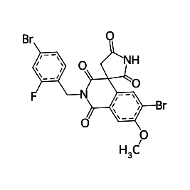 COc1cc2c(cc1Br)C1(CC(=O)NC1=O)C(=O)N(Cc1ccc(Br)cc1F)C2=O